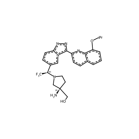 CC(C)Oc1cccc2ccc(-c3nnc4ccc([C@@H](N5CC[C@](N)(CO)C5)C(F)(F)F)cn34)nc12